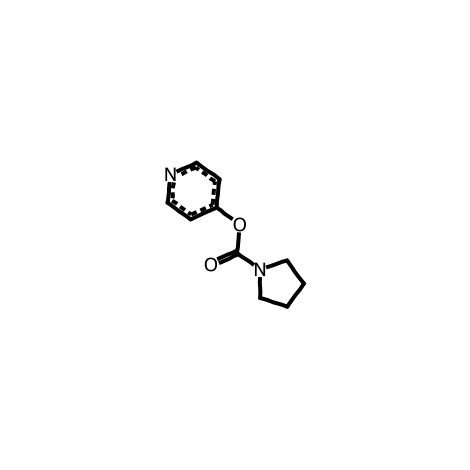 O=C(Oc1ccncc1)N1CCCC1